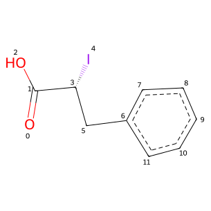 O=C(O)[C@H](I)Cc1ccccc1